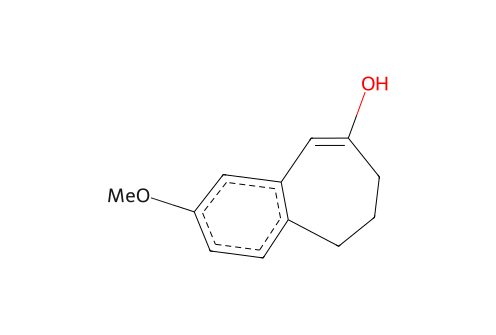 COc1ccc2c(c1)C=C(O)CCC2